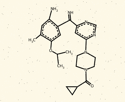 Cc1cc(N)c(C(=N)c2cc(N3CCN(C(=O)C4CC4)CC3)ncn2)cc1OC(C)C